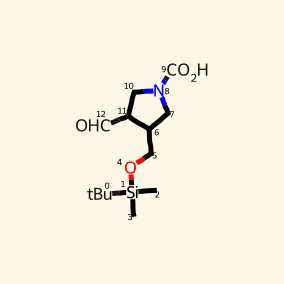 CC(C)(C)[Si](C)(C)OCC1CN(C(=O)O)CC1C=O